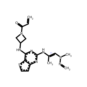 C=CC(=O)N1CC(Nc2nc(N/C(C)=C/N(C)N=C)nc3ccsc23)C1